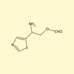 NC(COC=O)c1cncs1